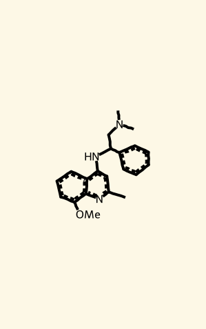 COc1cccc2c(NC(CN(C)C)c3ccccc3)cc(C)nc12